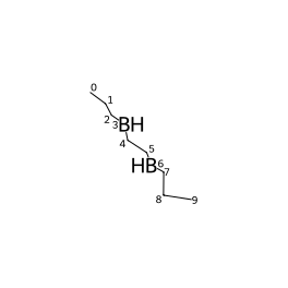 CCCBCCBCCC